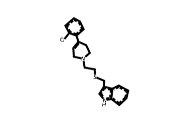 Clc1ccccc1C1=CCN(CCSCc2c[nH]c3ccccc23)CC1